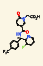 O=C(O)Cn1cc(C(=O)N[C@@H](c2ccc(C(F)(F)F)cc2)c2ncccc2F)ccc1=O